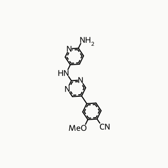 COc1cc(-c2cnc(Nc3ccc(N)nc3)nc2)ccc1C#N